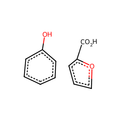 O=C(O)c1ccco1.Oc1ccccc1